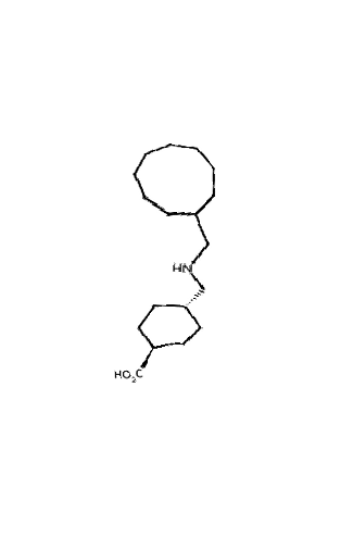 O=C(O)[C@H]1CC[C@H](CNCC2CCCCCCCC2)CC1